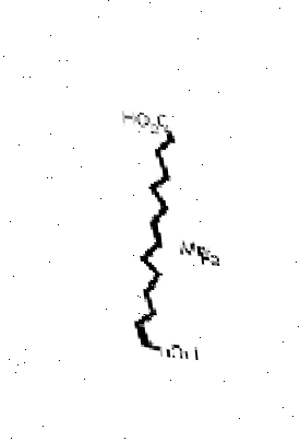 CCCCCCCC/C=C\CCCCCCCCCCCC(=O)O.[Fe].[Mn]